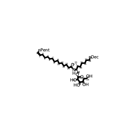 CCCCC/C=C\CCCCCCCCCCCCC(=O)N[C@@H](COC1OC(CO)C(O)C(O)C1O)[C@H](C)CCCCCCCCCCCCCCC